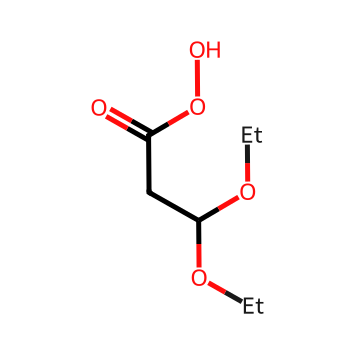 CCOC(CC(=O)OO)OCC